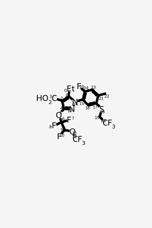 CCc1c(C(=O)O)c(OC(F)(F)C(F)OC(F)(F)F)nn1-c1cc(SCC(F)(F)F)c(C)cc1F